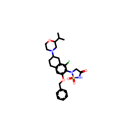 CC(C)C1CN(C2CCc3cc(OCc4ccccc4)c(N4CC(=O)NS4(=O)=O)c(F)c3C2)CCO1